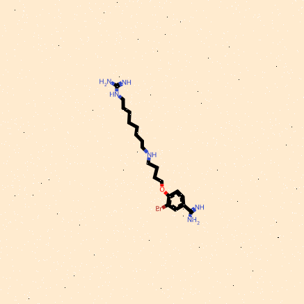 N=C(N)NCCCCCCCCNCCCCOc1ccc(C(=N)N)cc1Br